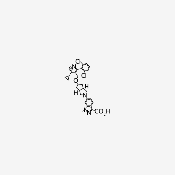 Cn1nc(C(=O)O)c2ccc(N3C[C@H]4C[C@H](OCc5c(-c6c(Cl)cccc6Cl)noc5C5CC5)C[C@H]4C3)cc21